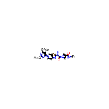 COc1cc(N2CCc3nc(NC(=O)N4CC(C(=O)NC(C)C)C4)sc3C2)nc(OC)n1